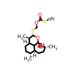 CCCSC(=O)OCS[C@@H]1O[C@@H]2O[C@]3(C)CC[C@H]4[C@H](C)CC[C@@H]([C@H]1C)[C@@]24OO3